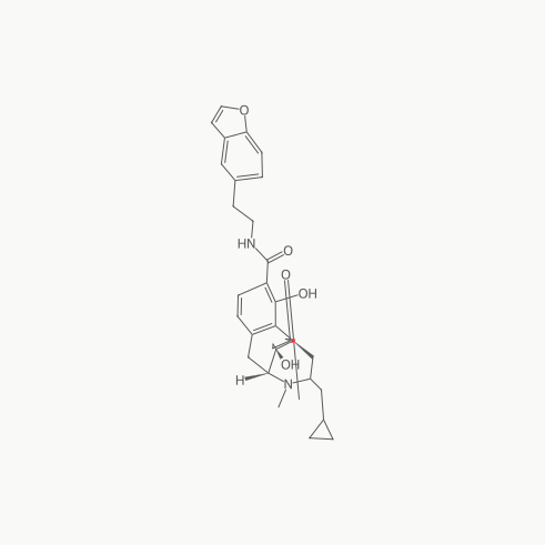 CN1C(CC2CC2)C[C@]23CC(=O)CC[C@@]2(O)[C@H]1Cc1ccc(C(=O)NCCc2ccc4occc4c2)c(O)c13